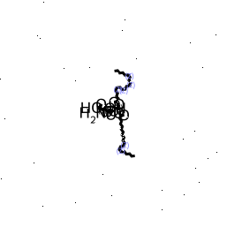 CCCCC/C=C\C/C=C\C/C=C\C/C=C\CCCC(=O)O[C@H](COC(=O)CCCCCCCCC/C=C\C/C=C\CCCCC)COP(=O)(O)OC[C@H](N)C(=O)O